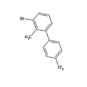 CCc1cccc(-c2ccc(C(F)(F)F)cc2)c1C